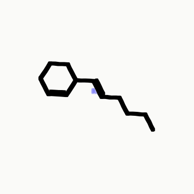 CCCC/C=C/C1C=CCCC1